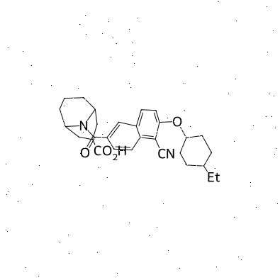 CCC1CCC(Oc2ccc3cc(C(=O)N4C5CCCC4CC(C(=O)O)C5)ccc3c2C#N)CC1